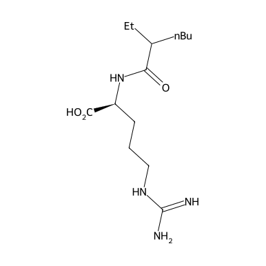 CCCCC(CC)C(=O)N[C@@H](CCCNC(=N)N)C(=O)O